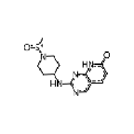 C[S+]([O-])N1CCC(Nc2ncc3ccc(=O)[nH]c3n2)CC1